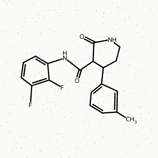 Cc1cccc(C2CCNC(=O)C2C(=O)Nc2cccc(F)c2F)c1